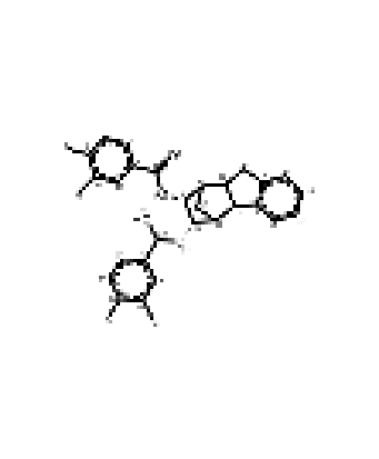 Cc1ccc(C(=O)O[C@@H]2C3CC(C4c5ccccc5CC43)[C@@H]2OC(O)c2ccc(C)c(C)c2)cc1C